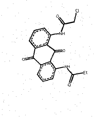 CCC(=O)Nc1cccc2c1C(=O)c1c(NC(=O)CCl)cccc1C2=O